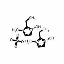 CCc1n(C)cc[n+]1O.CCc1n(C)cc[n+]1O.O=S(=O)([O-])[O-]